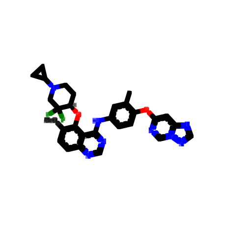 COc1ccc2ncnc(Nc3ccc(Oc4cc5ncnn5cn4)c(C)c3)c2c1O[C@@H]1CCN(C2CC2)CC1(F)F